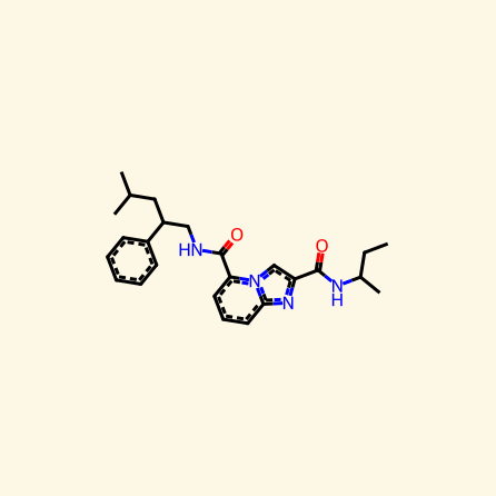 CCC(C)NC(=O)c1cn2c(C(=O)NCC(CC(C)C)c3ccccc3)cccc2n1